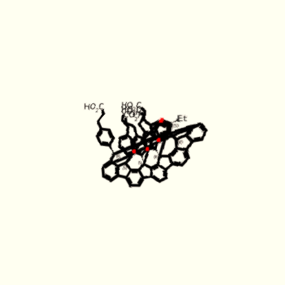 CC[C@]12C3=C4C5=C1[C@@]1(c6ccc(CCC(=O)O)cc6)c6c7ccc8c6[C@]5(c5ccc(CCC(=O)O)cc5)c5c-8ccc6c5[C@]4(c4ccc(CCC(=O)O)cc4)c4c-6ccc5c4[C@]3(c3ccc(CCC(=O)O)cc3)c3c-5ccc4c3[C@]2(c2ccc(CCC(=O)O)cc2)c2c-4ccc-7c21